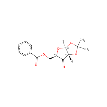 CC1(C)O[C@@H]2O[C@H](COC(=O)c3ccccc3)C(=O)[C@H]2O1